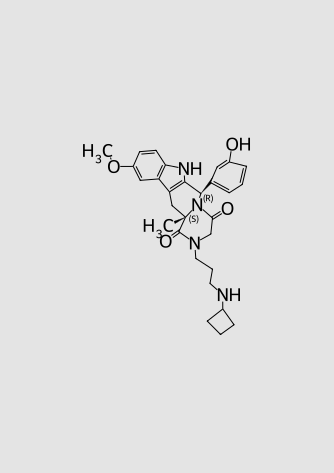 COc1ccc2[nH]c3c(c2c1)C[C@@]1(C)C(=O)N(CCCNC2CCC2)CC(=O)N1[C@@H]3c1cccc(O)c1